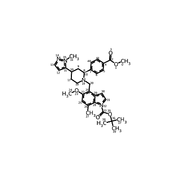 COC(=O)c1ccc([C@@H]2CC(c3ccnn3C)CCN2Cc2c(OC)cc(C)c3c2ccn3C(=O)OC(C)(C)C)cc1